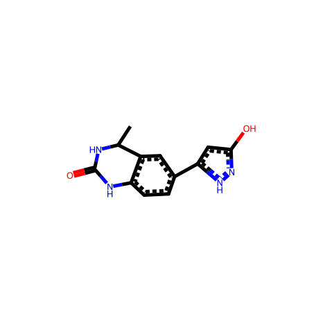 CC1NC(=O)Nc2ccc(-c3cc(O)n[nH]3)cc21